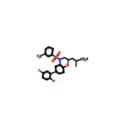 CC(CC1CN(S(=O)(=O)c2cccc(C(F)(F)F)c2)c2cc(-c3cc(F)ccc3F)ccc2O1)C(=O)O